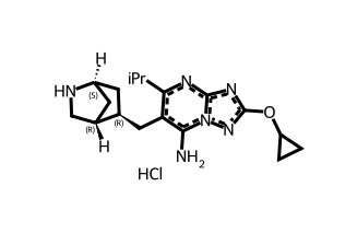 CC(C)c1nc2nc(OC3CC3)nn2c(N)c1C[C@@H]1C[C@H]2C[C@H]1CN2.Cl